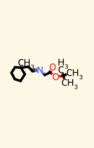 CC1(C/C=N/CC(=O)OC(C)(C)C)CCCCC1